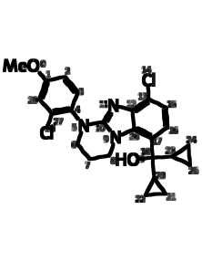 COc1ccc(N2CCCn3c2nc2c(Cl)ccc(C(O)(C4CC4)C4CC4)c23)c(Cl)c1